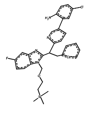 C[Si](C)(C)CCOCn1c(C(Cc2ccccc2)c2ccc(-c3cc(Cl)ccc3N)cn2)nc2cc(F)ccc21